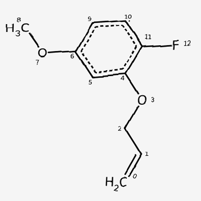 C=CCOc1cc(OC)c[c]c1F